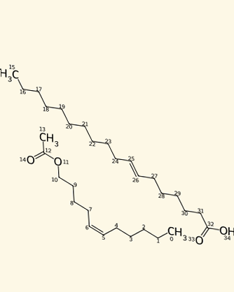 CCCCC/C=C\CCCCOC(C)=O.CCCCCCCCCC/C=C/CCCCCC(=O)O